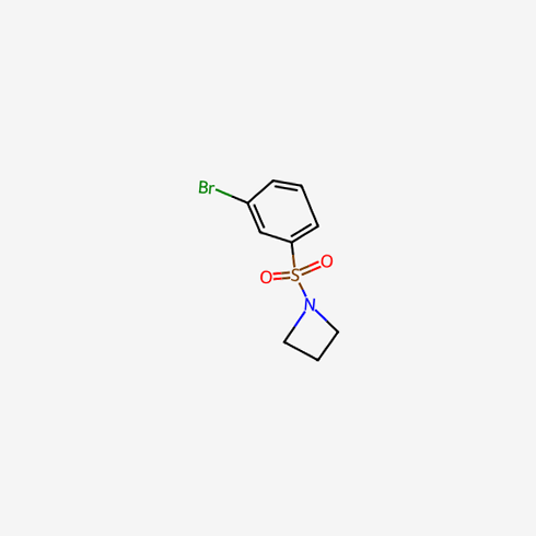 O=S(=O)(c1cccc(Br)c1)N1CCC1